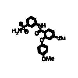 COc1ccc(OC2C=C(C(C)(C)C)C=CC2C(=O)Nc2cccc(S(N)(=O)=O)c2)cc1